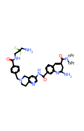 CCCN(CCC)C(=O)C1=Cc2ccc(C(=O)Nc3cnc4c(c3)CN(Cc3ccc(C(=O)NCC(F)(F)CN)cc3)CC4)cc2N=C(N)C1